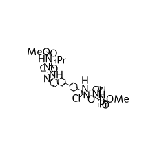 COC(=O)N[C@H](C(=O)N1CCC[C@H]1c1nc2ccc3cc(-c4ccc(-c5[nH]c([C@@H]6CC7C[C@H]7N6C(=O)[C@@H](NC(=O)OC)C(C)C)nc5Cl)cc4)ccc3c2[nH]1)C(C)C